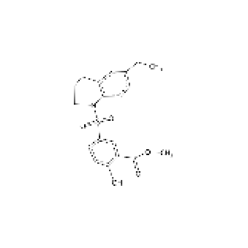 CCc1ccc2c(c1)CCCN2S(=O)(=O)c1ccc(O)c(C(=O)OC)c1